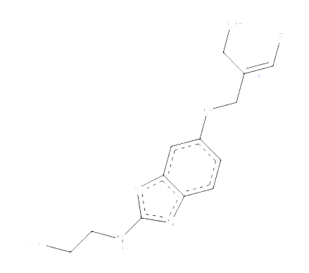 CCCNc1nc2ccc(OC/C(=C/F)CC)cc2s1